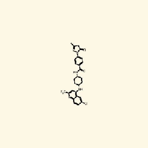 CC1=NN(c2ccc(C(=O)N[C@H]3CC[C@@H](Nc4cc(C(F)(F)F)nc5ccc(Cl)cc45)CC3)cc2)C(=O)C1